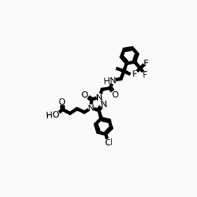 CC(C)(CNC(=O)Cn1nc(-c2ccc(Cl)cc2)n(CCCC(=O)O)c1=O)c1ccccc1C(F)(F)F